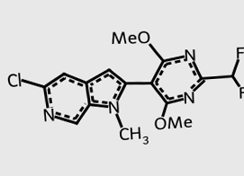 COc1nc(C(F)F)nc(OC)c1-c1cc2cc(Cl)ncc2n1C